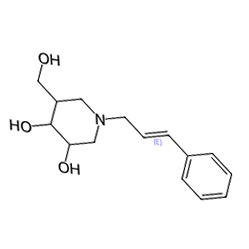 OCC1CN(C/C=C/c2ccccc2)CC(O)C1O